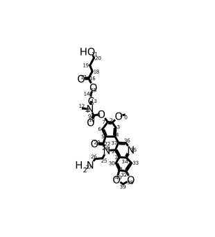 COc1cc2c(cc1OC(=O)N(C)CCOC(=O)CCCO)c(=O)n(CCN)c1c3cc4c(cc3ncc21)OCO4